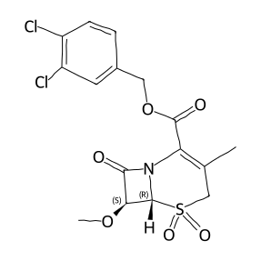 CO[C@H]1C(=O)N2C(C(=O)OCc3ccc(Cl)c(Cl)c3)=C(C)CS(=O)(=O)[C@H]12